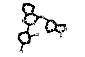 Clc1ccc(-c2nc(Nc3ccc4[nH]ncc4c3)c3ccccc3n2)c(Cl)c1